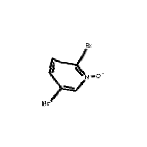 [O-][n+]1cc(Br)ccc1Br